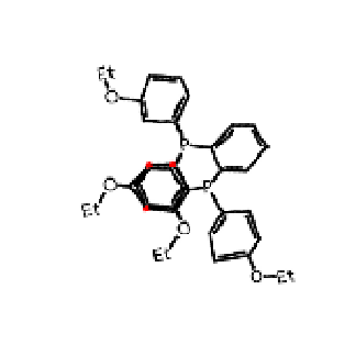 CCOc1ccc(P(c2ccc(OCC)cc2)c2ccccc2P(c2cccc(OCC)c2)c2cccc(OCC)c2)cc1